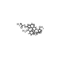 COc1cc2c(cc1-c1c(C)noc1C)ncc1nc(OCC(N)=O)n([C@H](C)c3ccccn3)c12